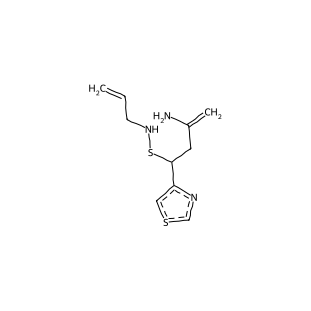 C=CCNSC(CC(=C)N)c1cscn1